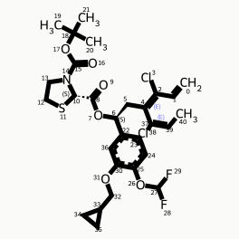 C=C/C(Cl)=C(C[C@H](OC(=O)[C@@H]1SCCN1C(=O)OC(C)(C)C)c1ccc(OC(F)F)c(OCC2CC2)c1)\C(Cl)=C/C